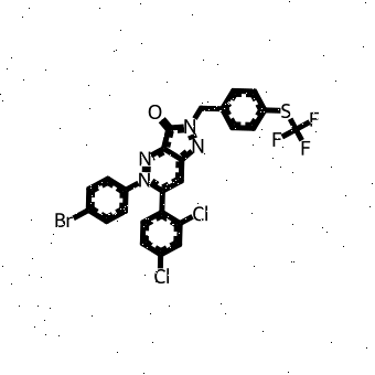 O=c1c2nn(-c3ccc(Br)cc3)c(-c3ccc(Cl)cc3Cl)cc-2nn1Cc1ccc(SC(F)(F)F)cc1